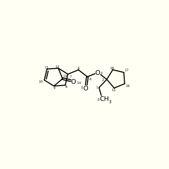 CCC1(OC(=O)CC2CC3C=CC2C3=O)CCCC1